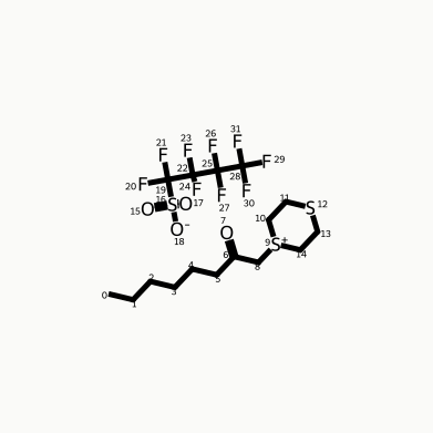 CCCCCCC(=O)C[S+]1CCSCC1.O=S(=O)([O-])C(F)(F)C(F)(F)C(F)(F)C(F)(F)F